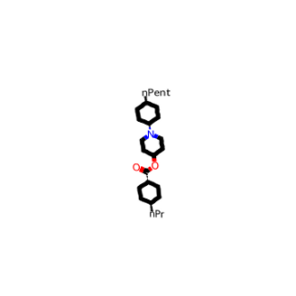 CCCCC[C@H]1CC[C@H](N2CCC(OC(=O)[C@H]3CC[C@H](CCC)CC3)CC2)CC1